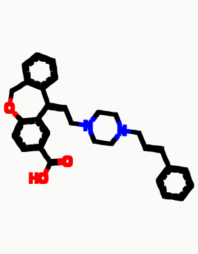 O=C(O)c1ccc2c(c1)C(=CCN1CCN(C/C=C/c3ccccc3)CC1)c1ccccc1CO2